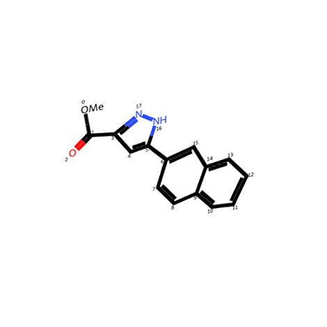 COC(=O)c1cc(-c2ccc3ccccc3c2)[nH]n1